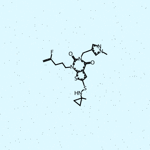 C=C(F)CCCn1c(=O)n(Cc2cnn(C)c2)c(=O)c2cc(SNC3(C)CC3)sc21